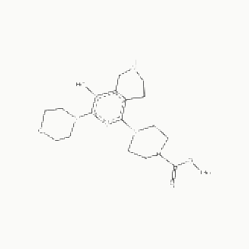 CC(C)(C)OC(=O)N1CCN(c2nc(N3CCOCC3)c(C#N)c3c2CCNC3)CC1